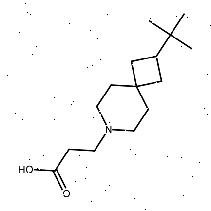 CC(C)(C)C1CC2(CCN(CCC(=O)O)CC2)C1